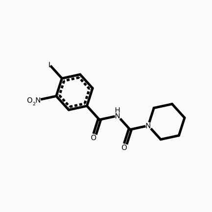 O=C(NC(=O)N1CCCCC1)c1ccc(I)c([N+](=O)[O-])c1